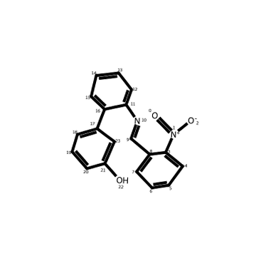 O=[N+]([O-])c1ccccc1C=Nc1ccccc1-c1cccc(O)c1